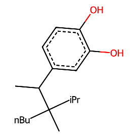 CCCCC(C)(C(C)C)C(C)c1ccc(O)c(O)c1